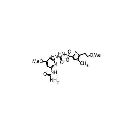 COCCc1sc(S(=O)(=O)NC(=O)Nc2cc(OC)cc(NC(N)=O)n2)cc1C